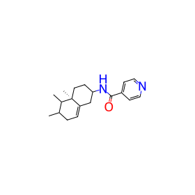 CC1CC=C2CC(NC(=O)c3ccncc3)CC[C@]2(C)C1C